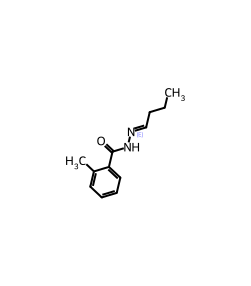 CCC/C=N/NC(=O)c1ccccc1C